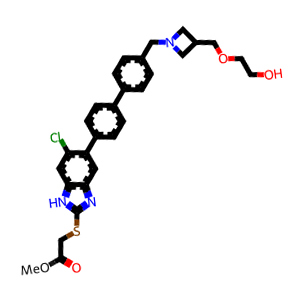 COC(=O)CSc1nc2cc(-c3ccc(-c4ccc(CN5CC(COCCO)C5)cc4)cc3)c(Cl)cc2[nH]1